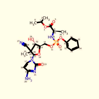 CC(C)OC(=O)[C@@H](C)NP(=O)(OC[C@H]1O[C@@H](n2ccc(N)nc2=O)[C@](C)(C#N)[C@@H]1O)Oc1ccccc1